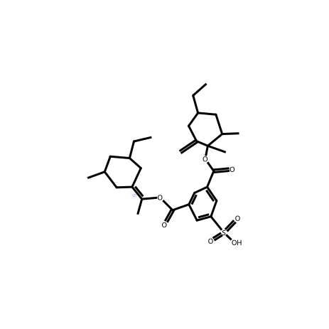 C=C1CC(CC)CC(C)C1(C)OC(=O)c1cc(C(=O)O/C(C)=C2/CC(C)CC(CC)C2)cc(S(=O)(=O)O)c1